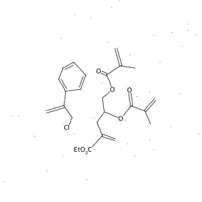 C=C(C)C(=O)OCC(CC(=C)C(=O)OCC)OC(=O)C(=C)C.C=C(CCl)c1ccccc1